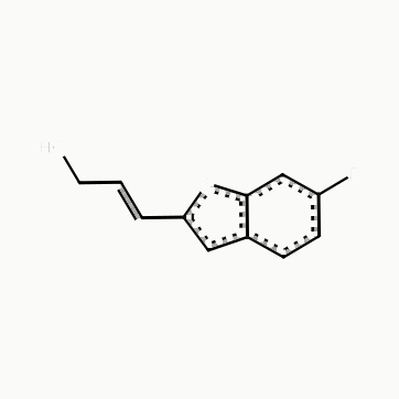 OCC=Cc1cc2ccc(F)cc2s1